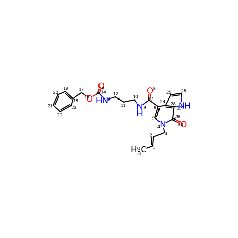 C/C=C/Cn1cc(C(=O)NCCCNC(=O)OCc2ccccc2)c2cc[nH]c2c1=O